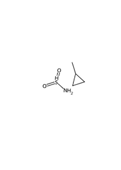 CC1CC1.N[SH](=O)=O